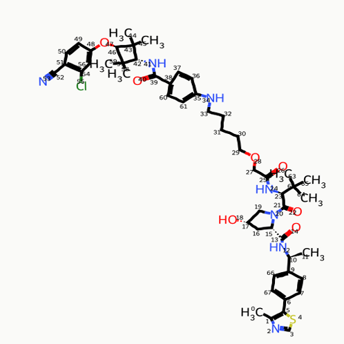 Cc1ncsc1-c1ccc([C@H](C)NC(=O)[C@@H]2C[C@H](O)CN2C(=O)[C@@H](NC(=O)COCCCCCNc2ccc(C(=O)N[C@H]3C(C)(C)[C@H](Oc4ccc(C#N)c(Cl)c4)C3(C)C)cc2)C(C)(C)C)cc1